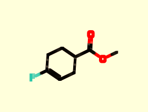 COC(=O)C1CC=C(F)CC1